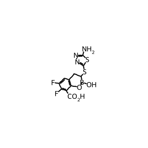 Nc1nnc(SC2Cc3cc(F)c(F)c(C(=O)O)c3OB2O)s1